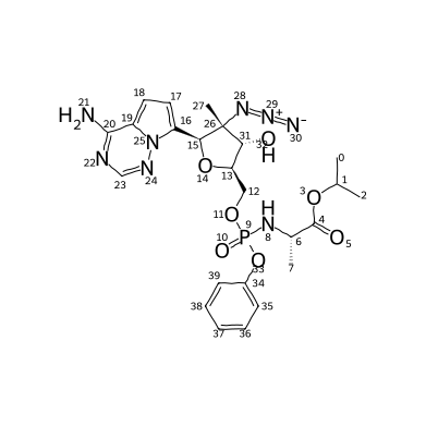 CC(C)OC(=O)[C@H](C)NP(=O)(OC[C@H]1O[C@@H](c2ccc3c(N)ncnn23)[C@](C)(N=[N+]=[N-])[C@@H]1O)Oc1ccccc1